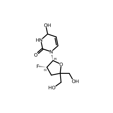 O=C1NC(O)C=CN1[C@@H]1OC(CO)(CO)C[C@@H]1F